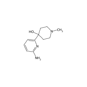 CN1CCC(O)(c2cccc(N)n2)CC1